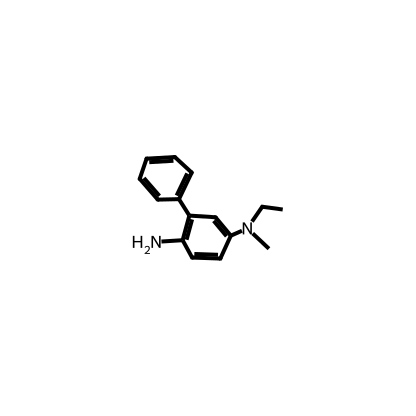 CCN(C)c1ccc(N)c(-c2ccccc2)c1